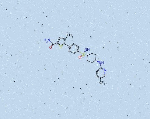 Cc1cc(C(N)=O)sc1-c1ccc(S(=N)(=O)[C@H]2CC[C@H](Nc3ccc(C(F)(F)F)cn3)CC2)cc1